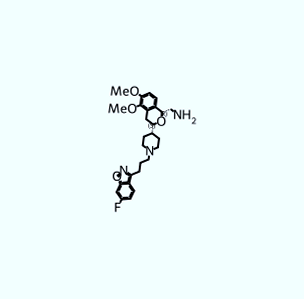 COc1ccc2c(c1OC)C[C@@H](C1CCN(CCCc3noc4cc(F)ccc34)CC1)O[C@H]2CN